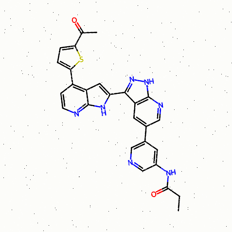 CCC(=O)Nc1cncc(-c2cnc3[nH]nc(-c4cc5c(-c6ccc(C(C)=O)s6)ccnc5[nH]4)c3c2)c1